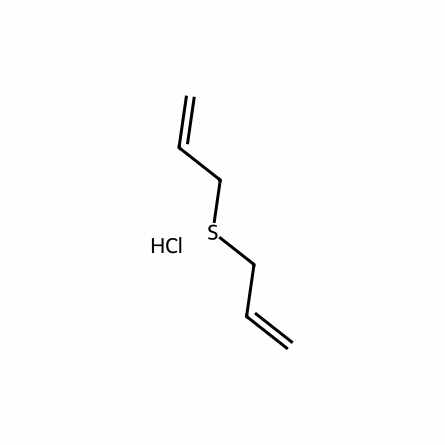 C=CCSCC=C.Cl